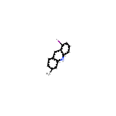 Cc1ccc2cc3c(I)cccc3nc2c1